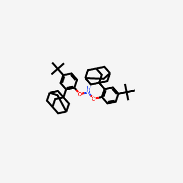 CC(C)(C)c1ccc(ONOc2ccc(C(C)(C)C)cc2C23CC4CC(CC(C4)C2)C3)c(C23CC4CC(CC(C4)C2)C3)c1